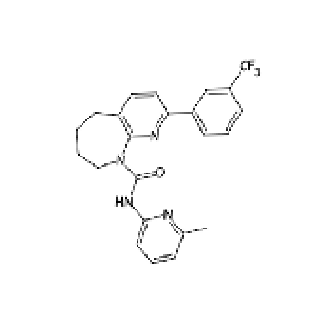 Cc1cccc(NC(=O)N2CCCCc3ccc(-c4cccc(C(F)(F)F)c4)nc32)n1